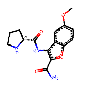 COc1ccc2oc(C(N)=O)c(NC(=O)[C@H]3CCCN3)c2c1